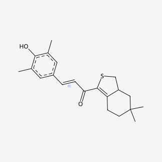 Cc1cc(/C=C/C(=O)C2=C3CCC(C)(C)CC3CS2)cc(C)c1O